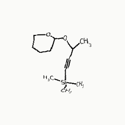 CC(C#C[Si](C)(C)C)OC1CCCCO1